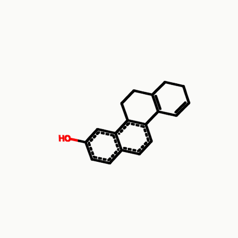 Oc1ccc2ccc3c(c2c1)CCC1=C3C=CCC1